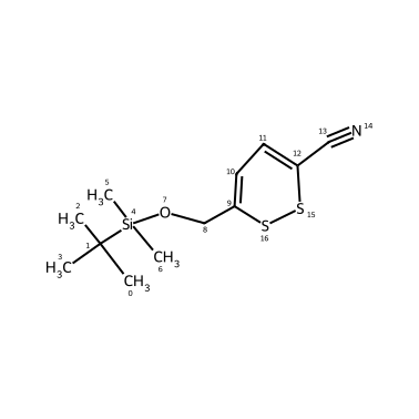 CC(C)(C)[Si](C)(C)OCC1=CC=C(C#N)SS1